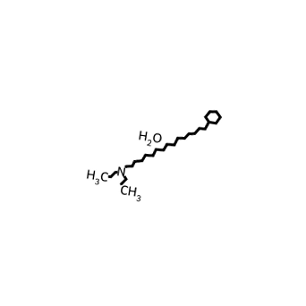 CCCN(CCC)CCCCCCCCCCCCCCCCC1CCCCC1.O